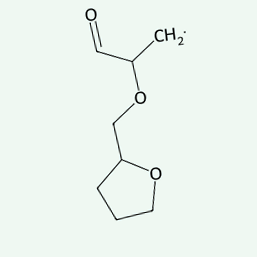 [CH2]C(C=O)OCC1CCCO1